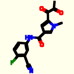 CC(=O)C(=O)c1cc(C(=O)Nc2ccc(F)c(C#N)c2)cn1C